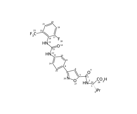 CC(C)[C@H](NC(=O)c1cc(-c2ccc(NC(=O)Nc3c(F)cccc3C(F)(F)F)cc2)no1)C(=O)O